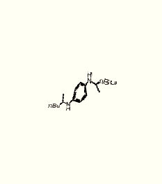 CCCCC(C)Nc1ccc(NC(C)CCCC)cc1